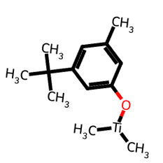 Cc1cc([O][Ti]([CH3])[CH3])cc(C(C)(C)C)c1